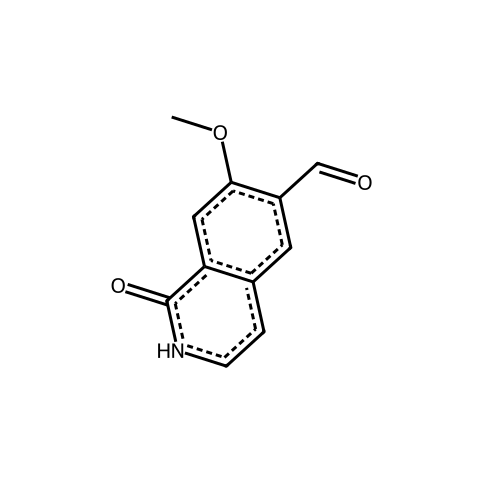 COc1cc2c(=O)[nH]ccc2cc1C=O